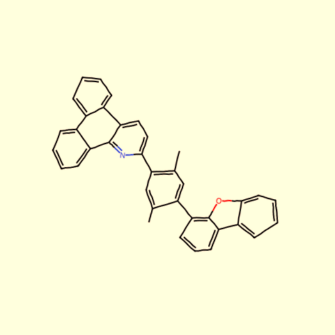 Cc1cc(-c2cccc3c2oc2ccccc23)c(C)cc1-c1ccc2c3ccccc3c3ccccc3c2n1